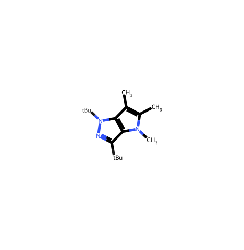 Cc1c(C)n(C)c2c(C(C)(C)C)nn(C(C)(C)C)c12